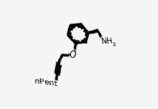 CCCCCC#CCOc1cccc(CN)c1